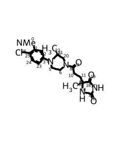 CNc1cc(N2CCN(C(=O)CC[C@@]3(C)NC(=O)NC3=O)C[C@@H]2C)ccc1Cl